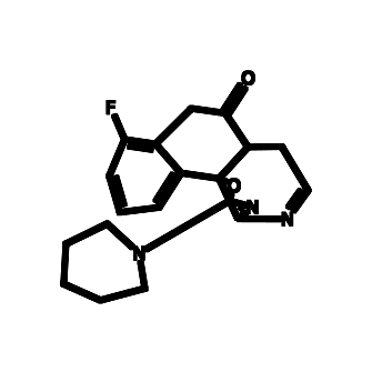 O=C1Cc2c(F)cccc2C23OC(N4CCCCC4)N=C2N=CCC13